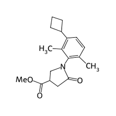 COC(=O)C1CC(=O)N(c2c(C)ccc(C3CCC3)c2C)C1